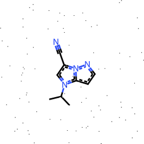 CC(C)n1cc(C#N)n2nccc12